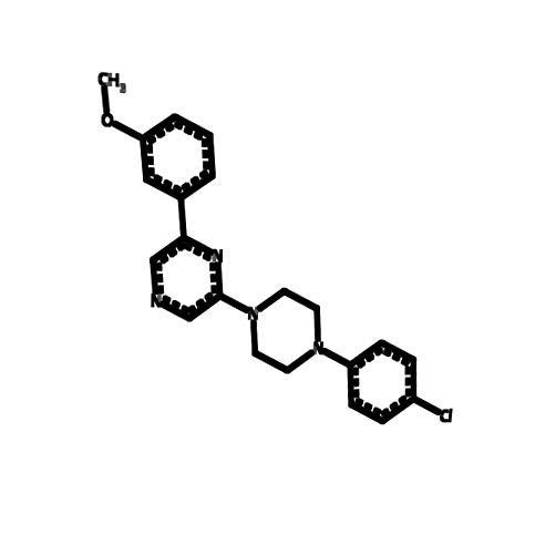 COc1cccc(-c2cncc(N3CCN(c4ccc(Cl)cc4)CC3)n2)c1